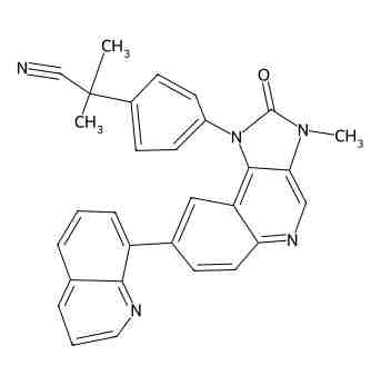 Cn1c(=O)n(-c2ccc(C(C)(C)C#N)cc2)c2c3cc(-c4cccc5cccnc45)ccc3ncc21